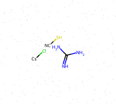 N#CS.N=C(N)N.[Cl][Cs]